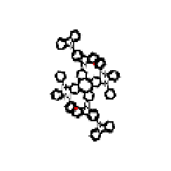 c1ccc(-n2c3ccccc3n(-c3ccccc3)c3cc4c5cc(-n6c7ccccc7c7cc(-n8c9ccccc9c9ccccc98)ccc76)ccc5c5cc6c(cc5c5cc(-n7c8ccccc8c8cc(-n9c%10ccccc%10c%10ccccc%109)ccc87)ccc5c4cc32)n(-c2ccccc2)c2ccccc2n6-c2ccccc2)cc1